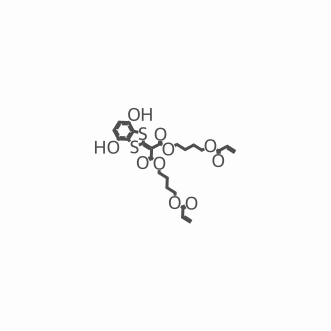 C=CC(=O)OCCCCOC(=O)C(C(=O)OCCCCOC(=O)C=C)=C1Sc2c(O)ccc(O)c2S1